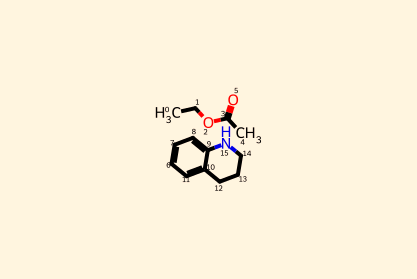 CCOC(C)=O.c1ccc2c(c1)CCCN2